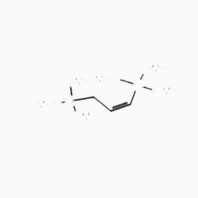 CO[Si](/C=C\C[Si](OC)(OC)OC)(OC)OC